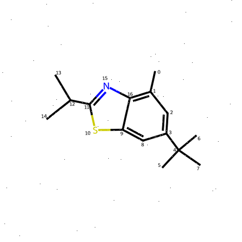 Cc1cc(C(C)(C)C)cc2sc(C(C)C)nc12